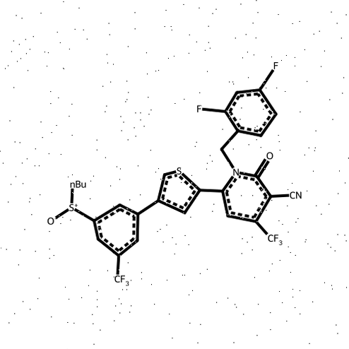 CCCC[S+]([O-])c1cc(-c2csc(-c3cc(C(F)(F)F)c(C#N)c(=O)n3Cc3ccc(F)cc3F)c2)cc(C(F)(F)F)c1